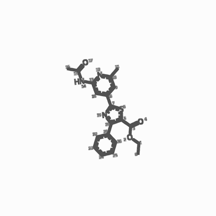 CCOC(=O)c1sc(-c2cc(C)nc(NC(C)=O)c2)nc1-c1ccccc1